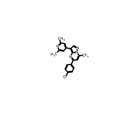 Cc1cc(-c2cnn3c(C(F)(F)F)cc(-c4ccc(Cl)cc4)nc23)cc(C)n1